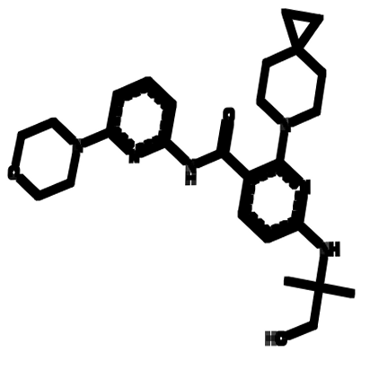 CC(C)(CO)Nc1ccc(C(=O)Nc2cccc(N3CCOCC3)n2)c(N2CCC3(CC2)CC3)n1